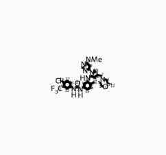 CNc1cc(-n2nc(CN3CCO[C@H](C)C3)cc2Nc2cc(NC(=O)Nc3ccc(Cl)c(C(F)(F)F)c3)ccc2C)ncn1